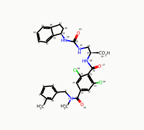 Cc1cccc(CN(C)C(=O)c2cc(Cl)c(C(=O)N[C@@H](CNC(=O)N[C@@H]3CCc4ccccc43)C(=O)O)c(Cl)c2)c1